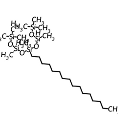 CCCCCCCCCCCCCCCC[Si](C)(O[SiH](C)O[Si](C)(C)C)O[Si](C)(C)O[Si](C)(C)C